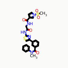 CN(C(=O)c1cccc(-c2csc(NC(=O)CNC(=O)c3ccn(S(C)(=O)=O)c3)n2)c1)c1ccccc1